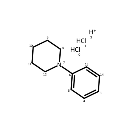 Cl.Cl.[H+].c1ccc(N2CCCCC2)cc1